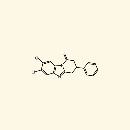 O=C1CC(c2ccccc2)Cc2nc3cc(Cl)c(Cl)cc3n21